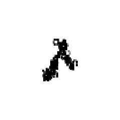 CCC(=O)N1CC(OC(=O)N(CCCN2CC3CN(C(=O)c4c(C)ncnc4C)CC3C2)c2ccc(C)c(Cl)c2)C1